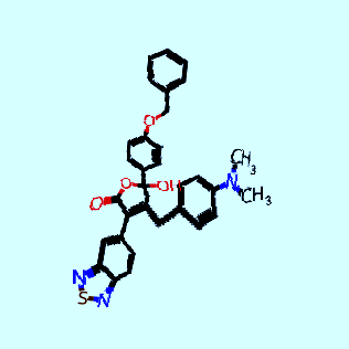 CN(C)c1ccc(CC2=C(c3ccc4nsnc4c3)C(=O)OC2(O)c2ccc(OCc3ccccc3)cc2)cc1